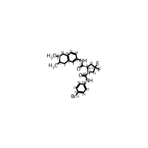 CC1Cc2cc(NC(=O)[C@H]3CC(F)(F)CN3C(=O)Nc3ccc(Br)cc3)ccc2CN1C